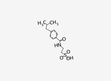 CC(C)Cc1ccc(C(=O)NCCS(=O)(=O)O)cc1